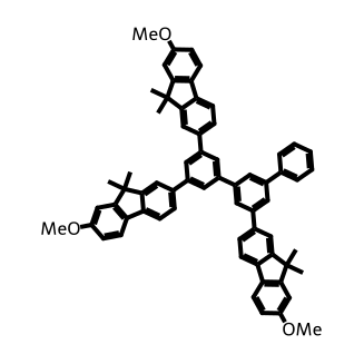 COc1ccc2c(c1)C(C)(C)c1cc(-c3cc(-c4ccccc4)cc(-c4cc(-c5ccc6c(c5)C(C)(C)c5cc(OC)ccc5-6)cc(-c5ccc6c(c5)C(C)(C)c5cc(OC)ccc5-6)c4)c3)ccc1-2